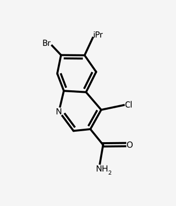 CC(C)c1cc2c(Cl)c(C(N)=O)cnc2cc1Br